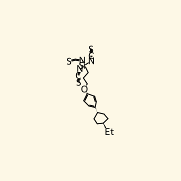 CC[C@H]1CC[C@H](c2ccc(OCCC[Si](N=C=S)(N=C=S)N=C=S)cc2)CC1